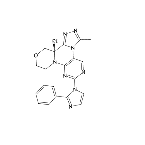 CC[C@]12COCCN1c1nc(-n3ccnc3-c3ccccc3)ncc1-n1c(C)nnc12